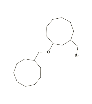 BrCC1CCCCCCC(OCC2CCCCCCCC2)C1